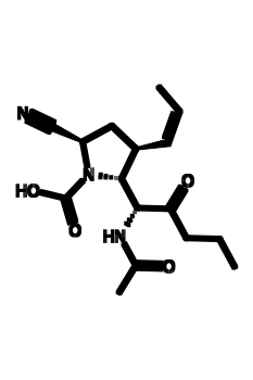 C/C=C\[C@@H]1C[C@H](C#N)N(C(=O)O)[C@H]1[C@@H](NC(C)=O)C(=O)CCC